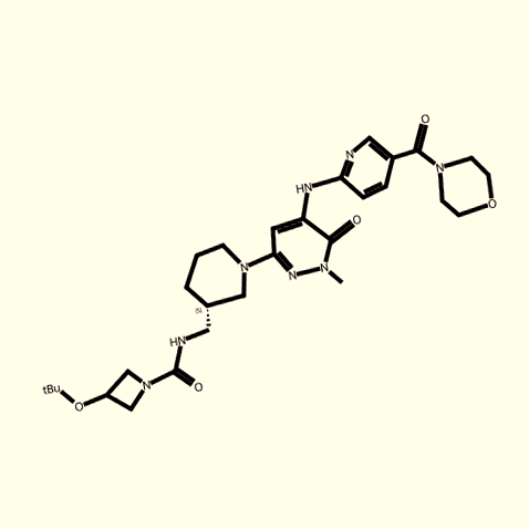 Cn1nc(N2CCC[C@@H](CNC(=O)N3CC(OC(C)(C)C)C3)C2)cc(Nc2ccc(C(=O)N3CCOCC3)cn2)c1=O